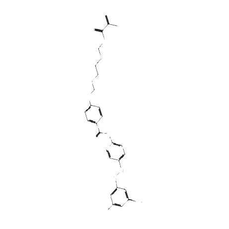 C=C(C)C(=O)OCCCCCCOc1ccc(C(=O)Oc2ccc(NNc3cc(C(C)(C)C)cc(C(C)(C)C)c3)cc2)cc1